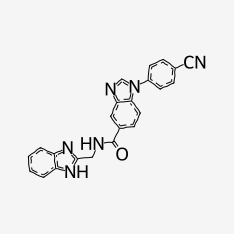 N#Cc1ccc(-n2cnc3cc(C(=O)NCc4nc5ccccc5[nH]4)ccc32)cc1